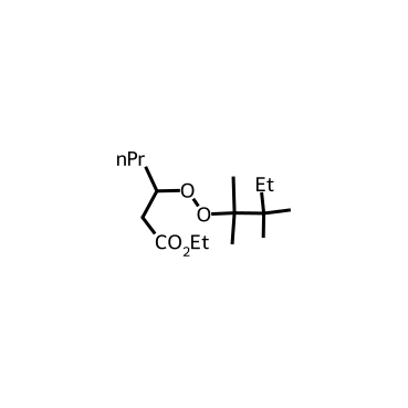 CCCC(CC(=O)OCC)OOC(C)(C)C(C)(C)CC